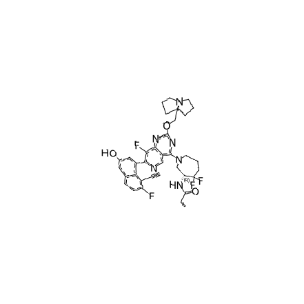 C#Cc1c(F)ccc2cc(O)cc(-c3ncc4c(N5CCCC(F)(F)[C@H](NC(=O)C=C)C5)nc(OCC56CCCN5CCC6)nc4c3F)c12